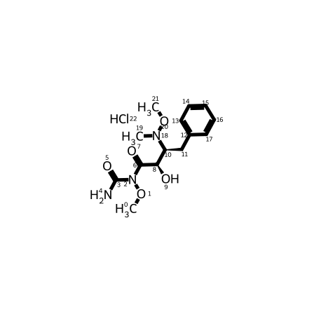 CON(C(N)=O)C(=O)[C@H](O)[C@H](Cc1ccccc1)N(C)OC.Cl